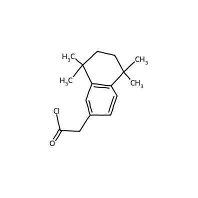 CC1(C)CCC(C)(C)c2cc(CC(=O)Cl)ccc21